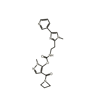 Cn1cc(-c2cccnc2)nc1CCNC(=O)Oc1c(C(=O)N2CCC2)cnn1C